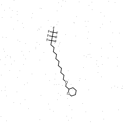 FC(F)(F)C(F)(F)C(F)(F)CCCCCCCCCCCOCC1CCCCO1